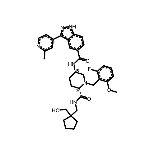 COc1cccc(F)c1CN1C[C@H](NC(=O)c2ccc3[nH]nc(-c4ccnc(C)c4)c3c2)CC[C@H]1C(=O)NCC1(CO)CCCC1